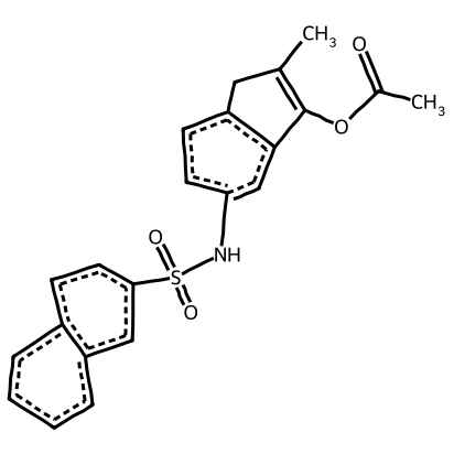 CC(=O)OC1=C(C)Cc2ccc(NS(=O)(=O)c3ccc4ccccc4c3)cc21